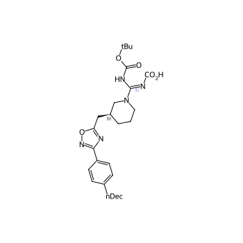 CCCCCCCCCCc1ccc(-c2noc(C[C@@H]3CCCN(/C(=N/C(=O)O)NC(=O)OC(C)(C)C)C3)n2)cc1